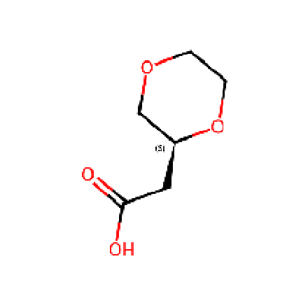 O=C(O)C[C@H]1COCCO1